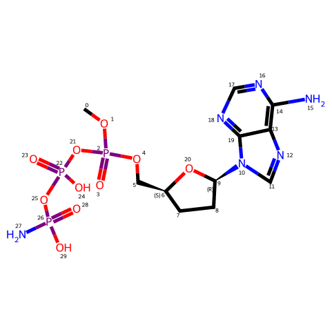 COP(=O)(OC[C@@H]1CC[C@H](n2cnc3c(N)ncnc32)O1)OP(=O)(O)OP(N)(=O)O